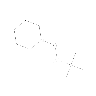 CC(C)(C)O[O][Al]1[CH2]CCC[CH2]1